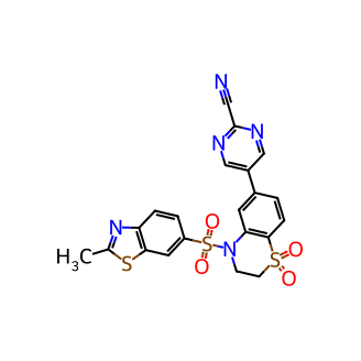 Cc1nc2ccc(S(=O)(=O)N3CCS(=O)(=O)c4ccc(-c5cnc(C#N)nc5)cc43)cc2s1